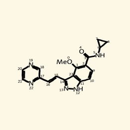 COc1c(C(=O)NC2CC2)ccc2[nH]nc(C=Cc3cnccn3)c12